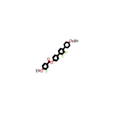 CCCCOC1CCC(c2ccc(-c3ccc(OC(=O)c4ccc(OCC)c(F)c4)cc3)c(F)c2F)CC1